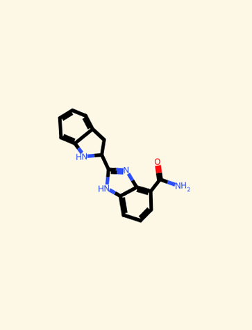 NC(=O)c1cccc2[nH]c(C3Cc4ccccc4N3)nc12